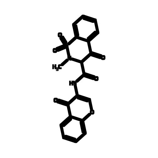 CN1C(C(=O)Nc2coc3ccccc3c2=O)C(=O)c2ccccc2S1(=O)=O